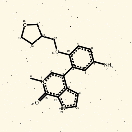 Cn1cc(-c2cc(N)ccc2OCC2CCOC2)c2cc[nH]c2c1=O